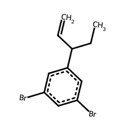 C=CC(CC)c1cc(Br)cc(Br)c1